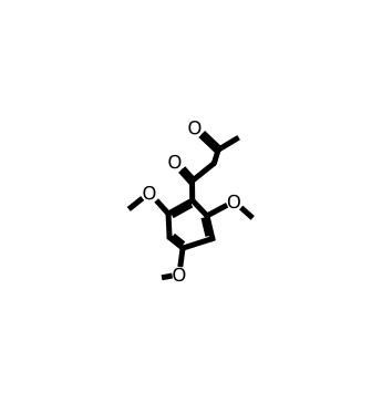 COc1cc(OC)c(C(=O)CC(C)=O)c(OC)c1